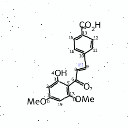 COc1cc(O)c(C(=O)/C=C/c2ccc(C(=O)O)cc2)c(OC)c1